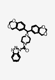 O=C(N1CCN(C(c2ccc3c(c2)COCO3)c2ccc3c(c2)COCO3)CC1)n1nnc2ccccc21